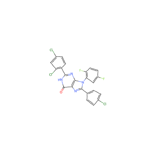 O=c1[nH]c(-c2ccc(Cl)cc2Cl)nc2c1nc(-c1ccc(Cl)cc1)n2-c1cc(F)ccc1F